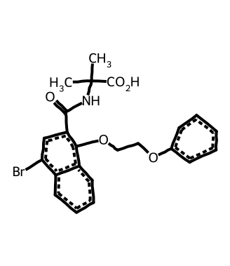 CC(C)(NC(=O)c1cc(Br)c2ccccc2c1OCCOc1ccccc1)C(=O)O